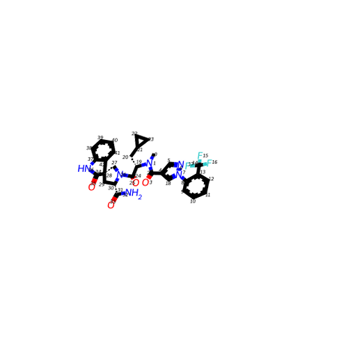 CN(C(=O)c1cnn(-c2ccccc2C(F)(F)F)c1)[C@@H](CC1CC1)C(=O)N1C[C@]2(C[C@H]1C(N)=O)C(=O)Nc1ccccc12